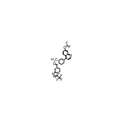 C[C@@H]1CN(c2ccnc3cc(OC(F)F)ccc23)CC[C@@H]1C(=O)N1CCn2c(nnc2C(F)(F)F)C1